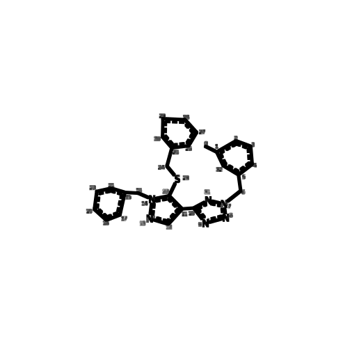 Cc1cccc(Cn2nnc(-c3cnn(Cc4ccccc4)c3SCc3ccccc3)n2)c1